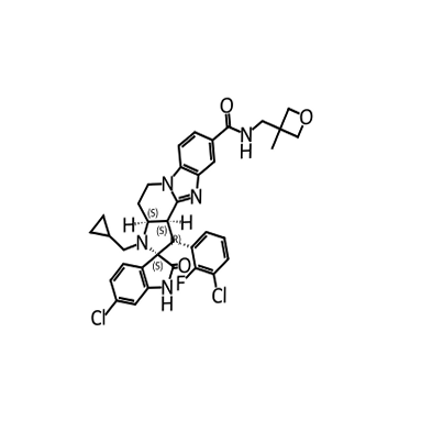 CC1(CNC(=O)c2ccc3c(c2)nc2n3CC[C@H]3[C@@H]2[C@H](c2cccc(Cl)c2F)[C@]2(C(=O)Nc4cc(Cl)ccc42)N3CC2CC2)COC1